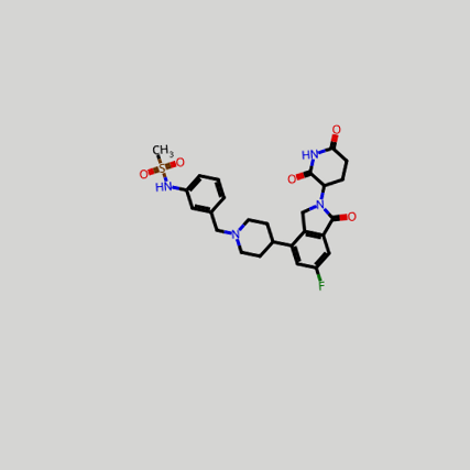 CS(=O)(=O)Nc1cccc(CN2CCC(c3cc(F)cc4c3CN(C3CCC(=O)NC3=O)C4=O)CC2)c1